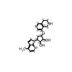 Cc1ccnc2c1ccn2C1CC(Oc2cncc3c2CNCC3)C(O)C1O